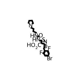 O=C(NCCCCN1CCCC1)Nc1snc(OCc2c(F)cc(Br)cc2F)c1C(=O)O